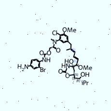 COc1cc(C/C(C)=C/C=C/[C@@H](OC)[C@@]2(O)C[C@@H]([C@@H](C)[C@H](O)C(C)C)OC(=O)N2)cc(N(C)C(=O)COC(=O)Nc2ccc(N)cc2Br)c1Cl